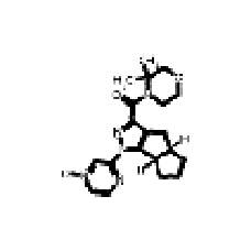 CC1(C)COCCN1C(=O)c1nn(-c2c[n+]([O-])ccn2)c2c1C[C@@H]1CCC[C@H]21